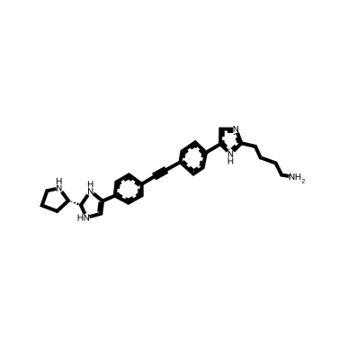 NCCCCc1ncc(-c2ccc(C#Cc3ccc(C4=CNC([C@@H]5CCCN5)N4)cc3)cc2)[nH]1